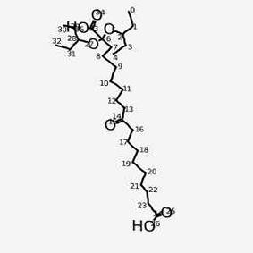 CCC(CC)OC(CCCCCCCC(=O)CCCCCCCCC(=O)O)(OC(CC)CC)C(=O)O